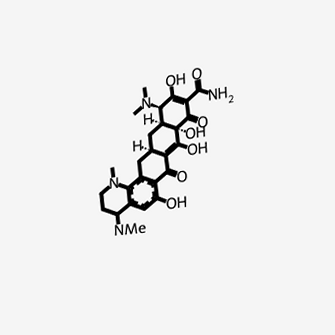 CNC1CCN(C)c2c1cc(O)c1c2C[C@H]2C[C@H]3[C@@H](N(C)C)C(O)=C(C(N)=O)C(=O)[C@@]3(O)C(O)=C2C1=O